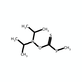 CSC(=S)ON(C(C)C)C(C)C